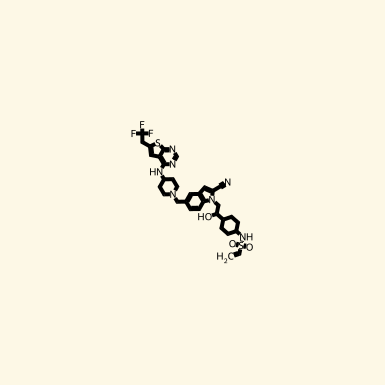 C=CS(=O)(=O)NC1CCC(C(O)Cn2c(C#N)cc3cc(CN4CCC(Nc5ncnc6sc(CC(F)(F)F)cc56)CC4)ccc32)CC1